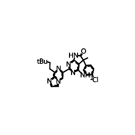 CC(C)(C)CCc1nc(-c2nc(N)c3c(n2)NC(=O)C3(C)c2ccc(Cl)cc2)cn2ccnc12